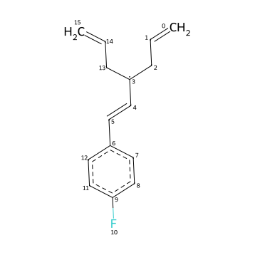 C=CC[C](C=Cc1ccc(F)cc1)CC=C